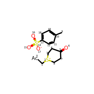 CC(=O)C[S+]1CCC(=O)CC1.Cc1ccc(S(=O)(=O)[O-])cc1